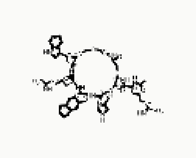 CC(=O)N[C@H](CCCNC(=N)N)C(=O)N[C@H]1CCC(=O)NCCCCNC(=O)[C@@H](CCc2c[nH]c3ccccc23)NC(=O)[C@H](CCCNC(=N)N)NC(=O)[C@@H](Cc2ccc3ccccc3c2)NC(=O)[C@H](Cc2c[nH]cn2)NC1=O